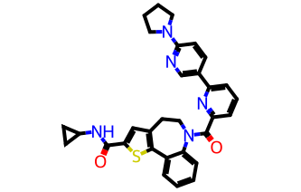 O=C(NC1CC1)c1cc2c(s1)-c1ccccc1N(C(=O)c1cccc(-c3ccc(N4CCCC4)nc3)n1)CC2